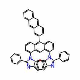 c1ccc(-c2nc3ccccc3n2-c2cccc3c(-c4ccc5cc6ccccc6cc5c4)c4cccc(-n5c(-c6ccccc6)nc6ccccc65)c4cc23)cc1